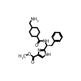 COC(=O)c1c[nH]c([C@H](Cc2ccccc2)NC(=O)C2CCC(CN)CC2)n1